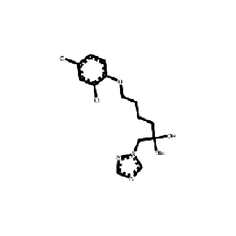 CC(C)(C)C(O)(CCCCOc1ccc(Cl)cc1Cl)Cn1cncn1